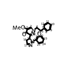 COc1cn(CC(=O)c2ccccc2)nc(C2CC=NN2c2ccccc2)c1=O